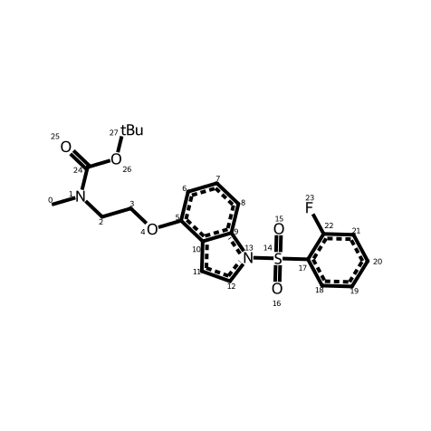 CN(CCOc1cccc2c1ccn2S(=O)(=O)c1ccccc1F)C(=O)OC(C)(C)C